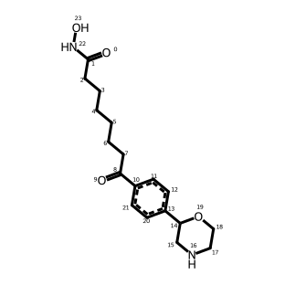 O=C(CCCCCCC(=O)c1ccc(C2CNCCO2)cc1)NO